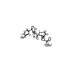 CC(C)(C)C(=O)ON1CCCC1C(=O)NNC(=O)c1cccc(Br)c1